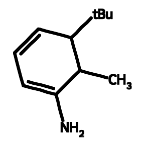 CC1C(N)=CC=CC1C(C)(C)C